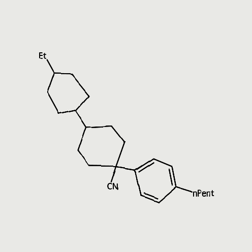 CCCCCc1ccc(C2(C#N)CCC(C3CCC(CC)CC3)CC2)cc1